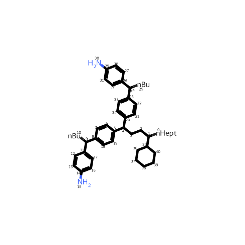 CCCCCCCC(CCC(c1ccc(C(CCCC)c2ccc(N)cc2)cc1)c1ccc(C(CCCC)c2ccc(N)cc2)cc1)C1CCCCC1